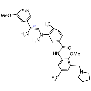 COc1cncc(/C(N)=C/N(N)c2cc(C(=O)Nc3cc(C(F)(F)F)cc(CN4CCCC4)c3OC)ccc2C)c1